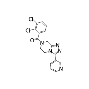 O=C(c1cccc(Cl)c1Cl)N1CCn2c(nnc2-c2cccnc2)C1